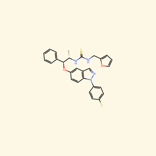 C[C@H](NC(=S)NCc1ccco1)[C@@H](Oc1ccc2c(cnn2-c2ccc(F)cc2)c1)c1ccccc1